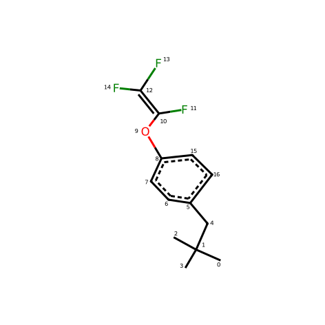 CC(C)(C)Cc1ccc(OC(F)=C(F)F)cc1